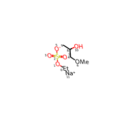 CCOS(=O)(=O)[O-].COCC(C)O.[Na+]